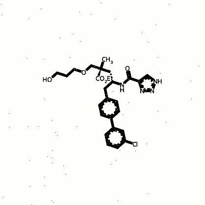 CCOC(=O)[C@](C)(COCCCO)C[C@@H](Cc1ccc(-c2cccc(Cl)c2)cc1)NC(=O)c1c[nH]nn1